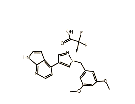 COc1cc(Cn2cc(-c3ccnc4[nH]ccc34)cn2)cc(OC)c1.O=C(O)C(F)(F)F